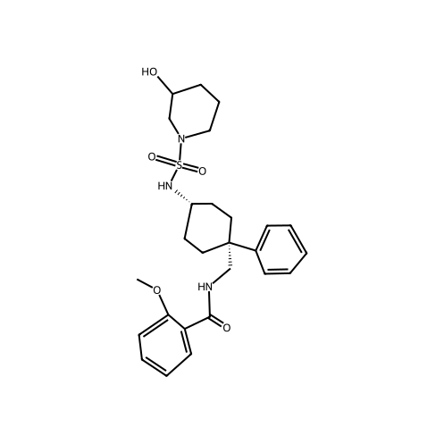 COc1ccccc1C(=O)NC[C@]1(c2ccccc2)CC[C@H](NS(=O)(=O)N2CCCC(O)C2)CC1